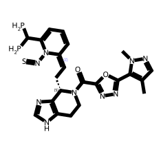 Cc1cnn(C)c1-c1nnc(C(=O)N2CCc3[nH]cnc3[C@@H]2C/C=C2/C=CC=C(C(P)P)N2N=S)o1